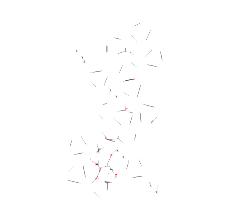 Cc1ccc([Si](c2ccc(C)cc2)(c2ccc(C)cc2)c2cccc(-c3cc(C#N)ccc3N(c3cc(C(C)C)c4ccc5c(N(c6ccc(C#N)cc6-c6cccc([Si](c7ccc(C)cc7)(c7ccc(C)cc7)c7ccc(C)cc7)c6)c6cccc7c6oc6ccccc67)cc(C(C)C)c6ccc3c4c65)c3cccc4c3oc3ccccc34)c2)cc1